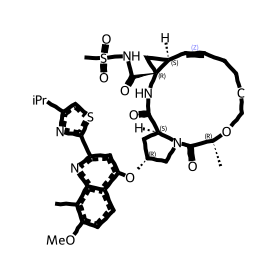 COc1ccc2c(O[C@@H]3C[C@H]4C(=O)N[C@]5(C(=O)NS(C)(=O)=O)C[C@H]5/C=C\CCCCO[C@H](C)C(=O)N4C3)cc(-c3nc(C(C)C)cs3)nc2c1C